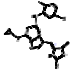 C=c1[nH]c(=O)[nH]/c1=C\c1cnn2c(NC3CC3)cc(Nc3cc(Cl)ccc3C)nc12